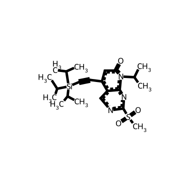 CC(C)n1c(=O)cc(C#C[Si](C(C)C)(C(C)C)C(C)C)c2cnc(S(C)(=O)=O)nc21